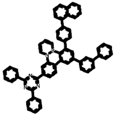 C1=CB2c3c(-c4ccc(-c5cccc6ccccc56)cc4)cc(-c4cccc(-c5ccccc5)c4)cc3-c3ccc(-c4nc(-c5ccccc5)nc(-c5ccccc5)n4)cc3N2C=C1